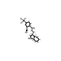 N#Cc1cc(C(F)(F)F)ccc1NCCc1c[nH]c2ccccc12